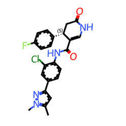 Cc1cc(-c2ccc(NC(=O)C3=CNC(=O)C[C@H]3c3ccc(F)cc3)c(Cl)c2)nn1C